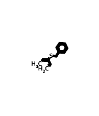 C=C/C(=C\C)SCc1ccccc1